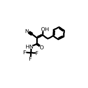 N#CC(C(=O)NC(F)(F)F)=C(O)Cc1ccccc1